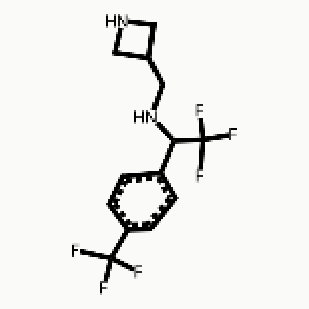 FC(F)(F)c1ccc(C(NCC2CNC2)C(F)(F)F)cc1